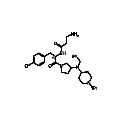 CC(C)CN(C1CCN(C(C)C)CC1)C1CCN(C(=O)[C@@H](Cc2ccc(Cl)cc2)NC(=O)CCN)C1